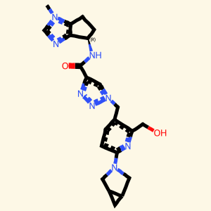 Cn1cnc2c1CC[C@H]2NC(=O)c1cn(Cc2ccc(N3CC4CC4C3)nc2CO)nn1